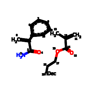 C=C(C(N)=O)c1ccccc1.C=C(C)C(=O)OCCCCCCCCCCCC